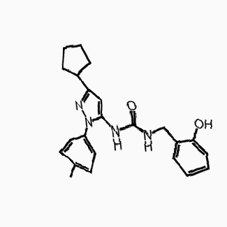 Cc1ccc(-n2nc(C3CCCC3)cc2NC(=O)NCc2ccccc2O)cc1